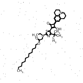 CCCCCCCCCCCCOC(=O)CN(CC)c1nc(C(C)(C)C)c(C2=C(O)C(=c3cc4c5c(c3)CCC[N+]=5CCC4)C2=O)s1